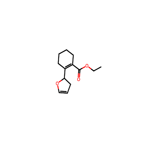 CCOC(=O)C1=C(C2CC=CO2)CCCC1